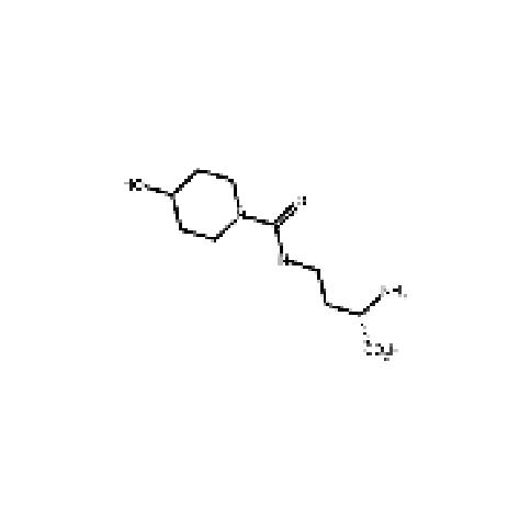 N[C@@H](CCNC(=O)N1CCC(O)CC1)C(=O)O